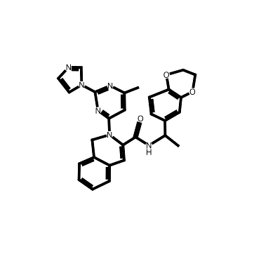 Cc1cc(N2Cc3ccccc3C=C2C(=O)NC(C)c2ccc3c(c2)OCCO3)nc(-n2ccnc2)n1